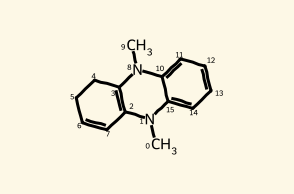 CN1C2=C(CCC=C2)N(C)c2ccccc21